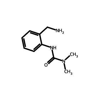 CN(C)C(=O)Nc1ccccc1CN